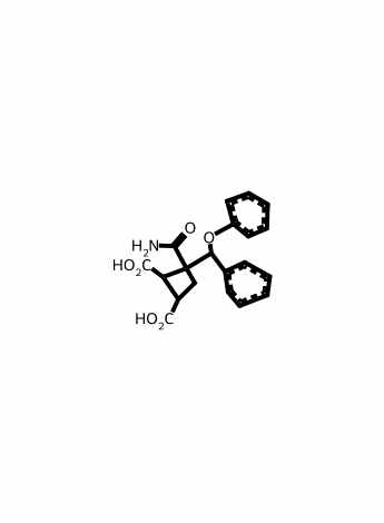 NC(=O)C1(C(Oc2ccccc2)c2ccccc2)CC(C(=O)O)C1C(=O)O